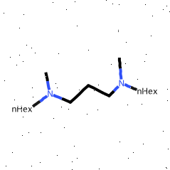 CCCCCCN(C)CCCN(C)CCCCCC